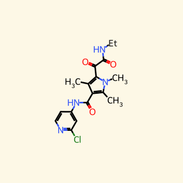 CCNC(=O)C(=O)c1c(C)c(C(=O)Nc2ccnc(Cl)c2)c(C)n1C